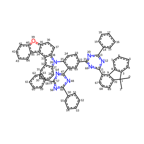 CC1(C)c2ccccc2-c2c(-c3nc(-c4ccccc4)nc(-c4ccc(-n5c6ccccc6c6c7c(ccc65)oc5ccccc57)c(-c5nc(-c6ccccc6)nc(-c6ccccc6)n5)c4)n3)cccc21